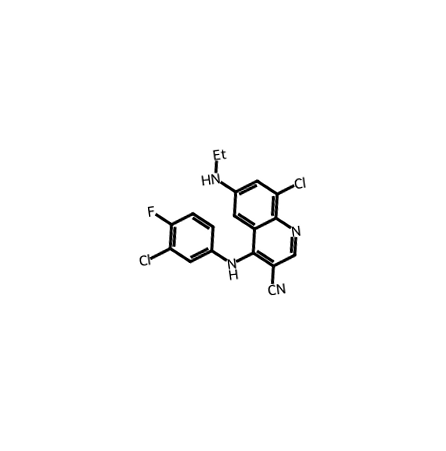 CCNc1cc(Cl)c2ncc(C#N)c(Nc3ccc(F)c(Cl)c3)c2c1